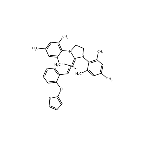 Cc1cc(C)c(N2CCN(c3c(C)cc(C)cc3C)[C]2=[Ru]([Cl])([Cl])=[CH]c2ccccc2Oc2cccs2)c(C)c1